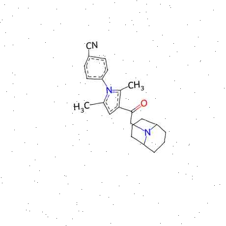 Cc1cc(C(=O)CN2C3CCCC2CCC3)c(C)n1-c1ccc(C#N)cc1